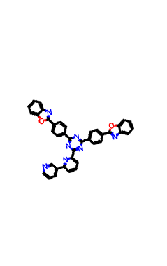 c1cncc(-c2cccc(-c3nc(-c4ccc(-c5nc6ccccc6o5)cc4)nc(-c4ccc(-c5nc6ccccc6o5)cc4)n3)n2)c1